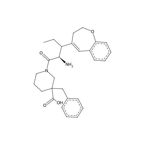 CCC(C1=Cc2ccccc2OCC1)[C@@H](N)C(=O)N1CCCC(Cc2ccccc2)(C(=O)O)C1